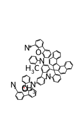 Cc1ccccc1N(c1ccc2c(c1)c1cc(N(c3ccccc3C)c3cccc4c3oc3c(C#N)cccc34)cc3c1n2-c1ccccc1C31c2ccc3ccccc3c2-c2c1ccc1ccccc21)c1cccc2c1oc1c(C#N)cccc12